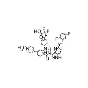 CN1CCN(c2ccc(C(=O)Nc3n[nH]c4ccc(SCc5cc(F)ccc5F)nc34)c(NC3CCOCC3)c2)CC1.O=C(O)C(F)(F)F